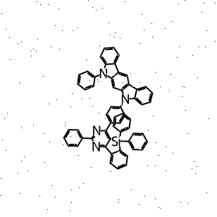 c1ccc(-c2nc(-c3ccc(-n4c5ccccc5c5cc6c7ccccc7n(-c7ccccc7)c6cc54)cc3)c3c(n2)-c2ccccc2[Si]3(c2ccccc2)c2ccccc2)cc1